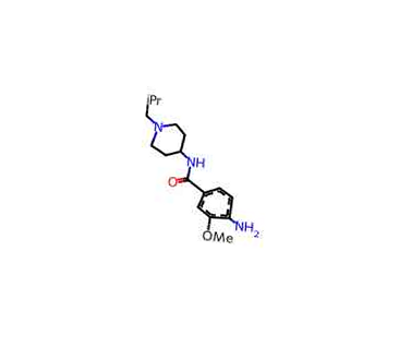 COc1cc(C(=O)NC2CCN(CC(C)C)CC2)ccc1N